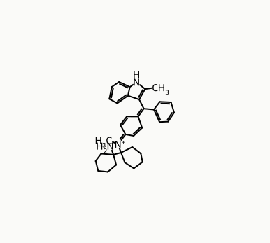 Cc1[nH]c2ccccc2c1C(=C1C=CC(=[N+](C)C2(C3(N)CCCCC3)CCCCC2)C=C1)c1ccccc1